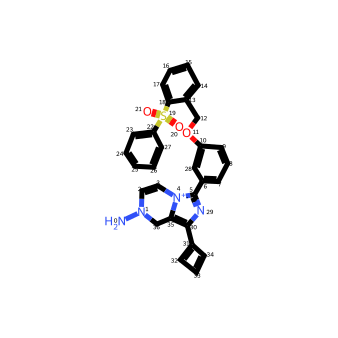 NN1C=C[N+]2C(c3cccc(OCc4ccccc4S(=O)(=O)c4ccccc4)c3)=NC(C3=CC=C3)=C2C1